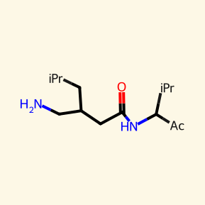 CC(=O)C(NC(=O)CC(CN)CC(C)C)C(C)C